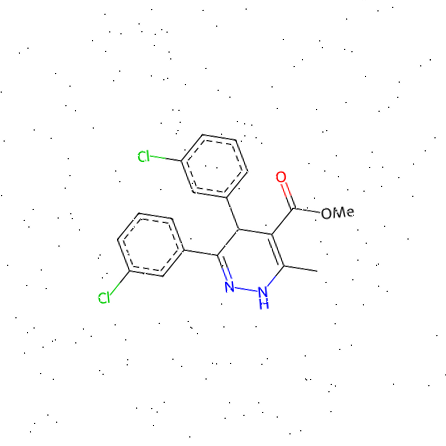 COC(=O)C1=C(C)NN=C(c2cccc(Cl)c2)C1c1cccc(Cl)c1